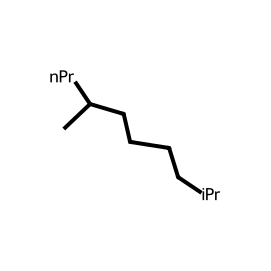 CCCC(C)CCCCC(C)C